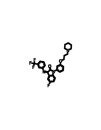 O=C1C(=Nc2cccc(C(F)(F)F)c2)c2cc(F)ccc2N1c1cccc(OCCCN2CCCCC2)c1